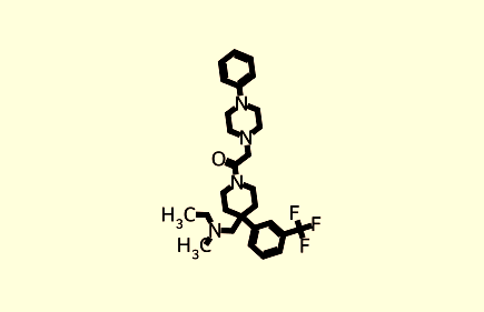 CCN(C)CC1(c2cccc(C(F)(F)F)c2)CCN(C(=O)CN2CCN(c3ccccc3)CC2)CC1